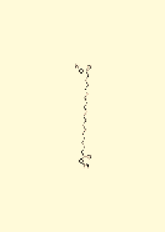 CC(C)OC(=O)CCCCCCCCCCCCCCCCCCC(=O)OC(C)C